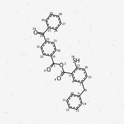 O=C(OC(=O)c1cc(Cc2ccccc2)ccc1S)c1ccc(C(=O)c2ccccc2)cc1